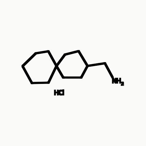 Cl.NCC1CCC2(CCCCC2)CC1